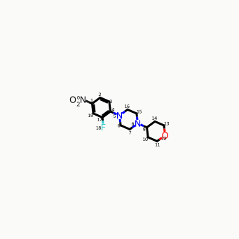 O=[N+]([O-])c1ccc(N2CCN(C3CCOCC3)CC2)c(F)c1